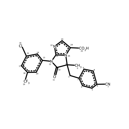 CC1(Cc2ccc(C#N)cc2)C(=O)N(c2cc(Cl)cc(C(F)(F)F)c2)c2ncc(C(=O)O)n21